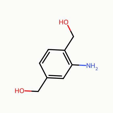 Nc1cc(CO)ccc1CO